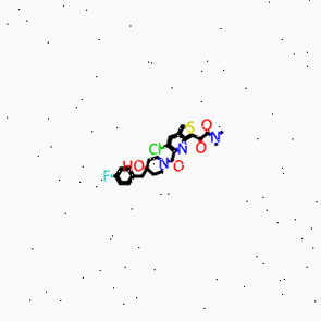 CN(C)C(=O)C(=O)c1scc2cc(Cl)c(C(=O)N3CCC(O)(Cc4ccc(F)cc4)CC3)nc12